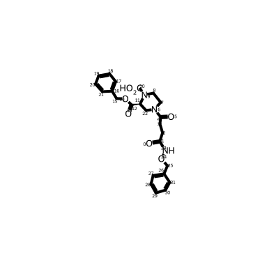 O=C(CCC(=O)N1CCN(C(=O)O)[C@H](C(=O)OCc2ccccc2)C1)NOCc1ccccc1